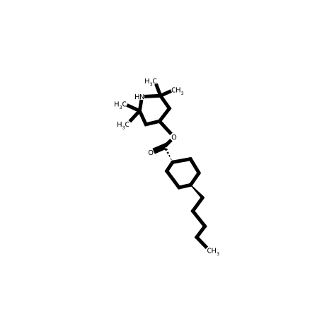 CCCCC[C@H]1CC[C@H](C(=O)OC2CC(C)(C)NC(C)(C)C2)CC1